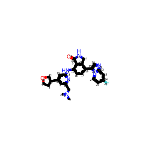 CN(C)Cc1cc(C2CCOC2)cc(Nc2ccc(-c3cnc4cc(F)ccn34)c3c2C(=O)NC3)n1